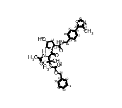 CC(=O)N[C@H](C(=O)N1C[C@H](O)C[C@H]1C(=O)NCc1ccc(-c2scnc2C)cc1)C(C)(C)SC(=O)OCc1ccccc1